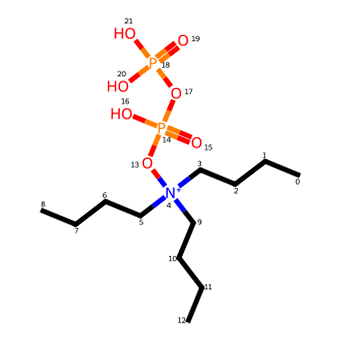 CCCC[N+](CCCC)(CCCC)OP(=O)(O)OP(=O)(O)O